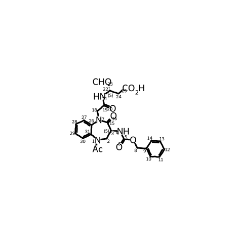 CC(=O)N1C[C@H](NC(=O)OCc2ccccc2)C(=O)N(CC(=O)N[C@H](C=O)CC(=O)O)c2ccccc21